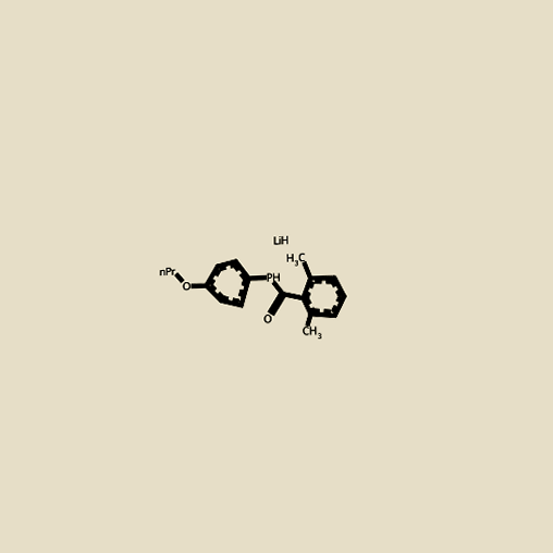 CCCOc1ccc(PC(=O)c2c(C)cccc2C)cc1.[LiH]